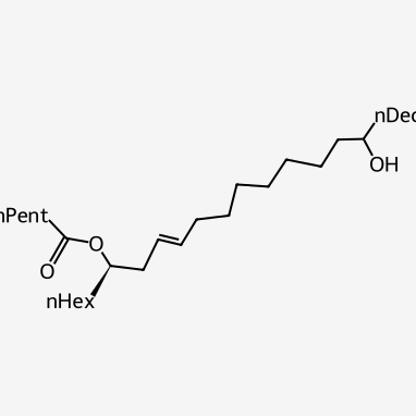 CCCCCCCCCCC(O)CCCCCCCC=CC[C@@H](CCCCCC)OC(=O)CCCCC